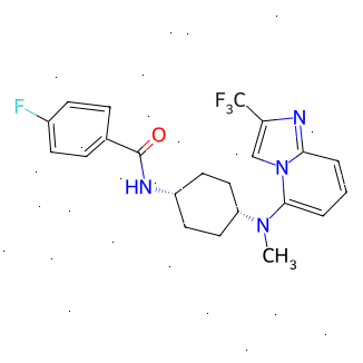 CN(c1cccc2nc(C(F)(F)F)cn12)[C@H]1CC[C@@H](NC(=O)c2ccc(F)cc2)CC1